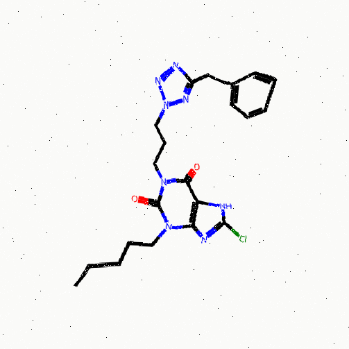 CCCCCn1c(=O)n(CCCn2nnc(Cc3ccccc3)n2)c(=O)c2[nH]c(Cl)nc21